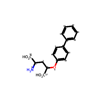 NC(CC(Oc1ccc(-c2ccccc2)cc1)C(=O)O)C(=O)O